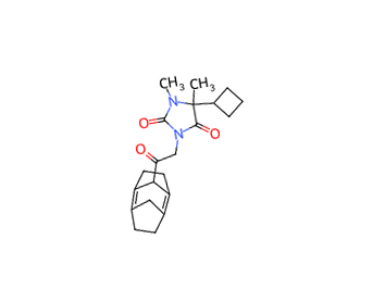 CN1C(=O)N(CC(=O)C2C3=C4CCC(=C2CC3)C4)C(=O)C1(C)C1CCC1